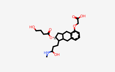 CNC(O)CCC1C2Cc3cccc(OCC(=O)O)c3CC2C[C@H]1OC(=O)CCCO